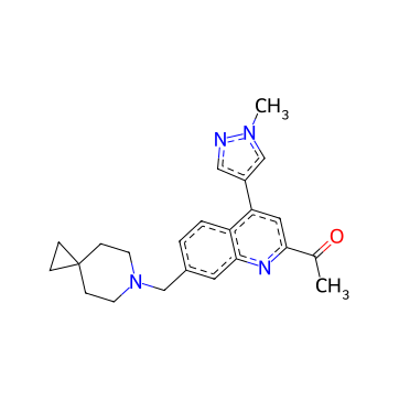 CC(=O)c1cc(-c2cnn(C)c2)c2ccc(CN3CCC4(CC3)CC4)cc2n1